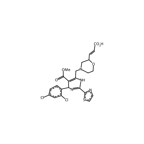 COC(=O)C1=C(CN2CCOC(/C=C/C(=O)O)C2)NC(c2nccs2)=NC1c1ccc(Cl)cc1Cl